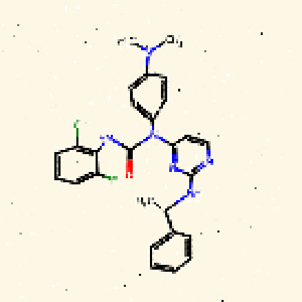 C[C@H](Nc1nccc(N(C(=O)Nc2c(F)cccc2F)c2ccc(N(C)C)cc2)n1)c1ccccc1